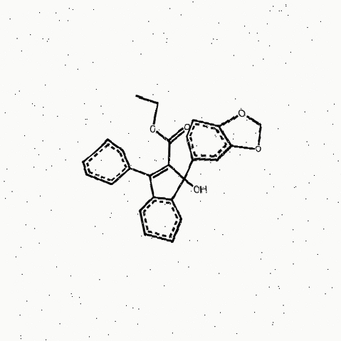 CCOC(=O)C1=C(c2ccccc2)c2ccccc2C1(O)c1ccc2c(c1)OCO2